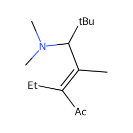 CC/C(C(C)=O)=C(/C)C(N(C)C)C(C)(C)C